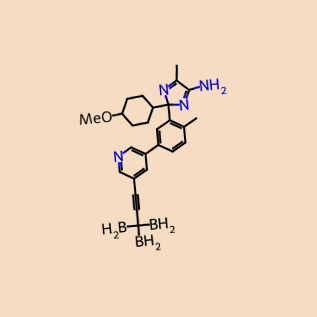 BC(B)(B)C#Cc1cncc(-c2ccc(C)c(C3(C4CCC(OC)CC4)N=C(C)C(N)=N3)c2)c1